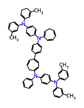 CC1=CC(N(c2ccc(N(C3=CCC=CC=C3)c3ccc(C4=CC=C(N(c5ccccc5)c5ccc(N(c6cccc(C)c6)c6cccc(C)c6)cc5)CC=C4)cc3)cc2)c2cccc(C)c2)=CCC1